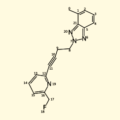 Cc1cccc2nn(CCC#Cc3cccc(CF)n3)nc12